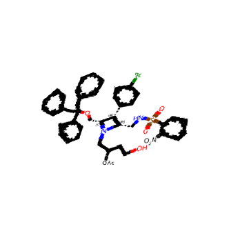 CC(=O)OC(CCO)CN1[C@H](COC(c2ccccc2)(c2ccccc2)c2ccccc2)[C@H](c2ccc(Br)cc2)[C@@H]1CNS(=O)(=O)c1ccccc1[N+](=O)[O-]